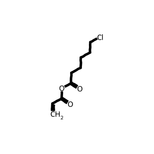 C=CC(=O)OC(=O)CCCCCCl